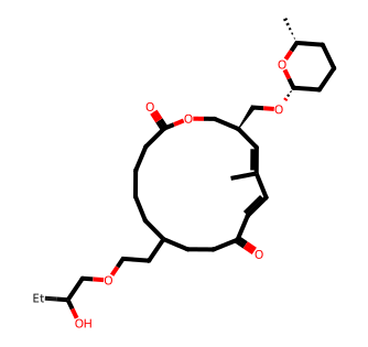 CCC(O)COCCC1CCCCC(=O)OC[C@@H](CO[C@H]2CCC[C@@H](C)O2)/C=C(C)/C=C/C(=O)CC1